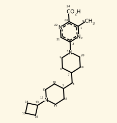 Cc1nc(N2CCC(CC3CCN(C4CCC4)CC3)CC2)cnc1C(=O)O